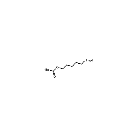 [CH2]CCCC(=O)OCCCCCCCCCCCC